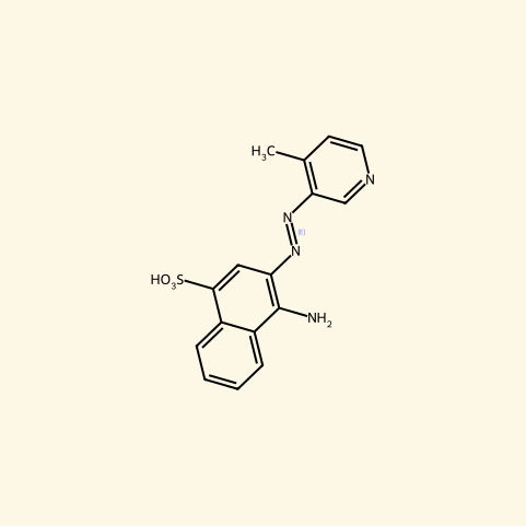 Cc1ccncc1/N=N/c1cc(S(=O)(=O)O)c2ccccc2c1N